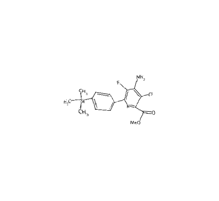 COC(=O)c1nc(-c2ccc([Si](C)(C)C)cc2)c(F)c(N)c1Cl